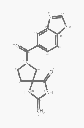 C=C1NC(=O)C2(CCN(C(=O)c3ccc4scnc4c3)C2)N1